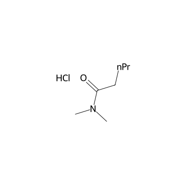 CCCCC(=O)N(C)C.Cl